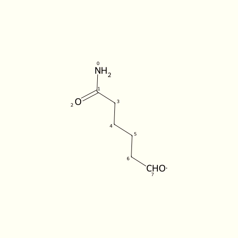 NC(=O)CCCC[C]=O